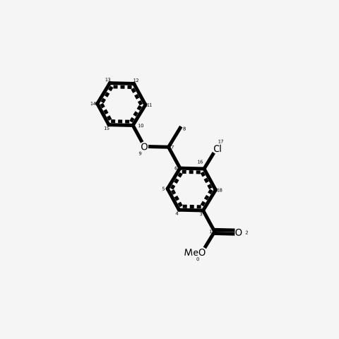 COC(=O)c1ccc(C(C)Oc2ccccc2)c(Cl)c1